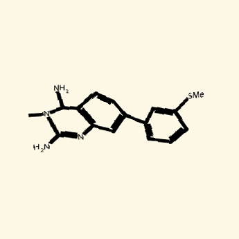 CSc1cccc(-c2ccc3c(c2)N=C(N)N(C)C3N)c1